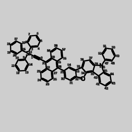 C(#C[Si](c1ccccc1)(c1ccccc1)c1ccccc1)c1c2ccccc2c(-c2ccc3oc4c(ccc5c4c4ccccc4n5-c4ccccc4)c3c2)c2ccccc12